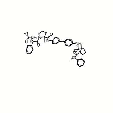 COC(=O)N[C@@H](C(=O)N1CCCC1(C)C(=O)Nc1ccc(-c2ccc(NC(=O)C3(C)CCCN3C(=O)[C@H](C)c3ccccc3)cc2)cc1)c1ccccc1